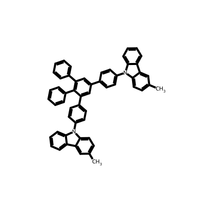 Cc1ccc2c(c1)c1ccccc1n2-c1ccc(-c2cc(-c3ccccc3)c(-c3ccccc3)c(-c3ccc(-n4c5ccccc5c5cc(C)ccc54)cc3)c2)cc1